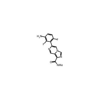 CNC(=O)c1ncn2cc(-c3c(F)ccc(N)c3F)ncc12